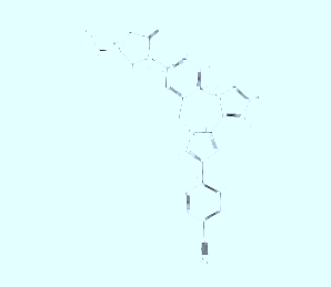 N#Cc1ccc(-c2cc3n(c2)Cc2cc(N4C[C@@H](CN)CC4=O)ccc2-n2ccnc2-3)cc1